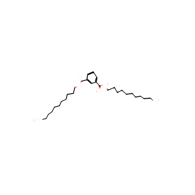 CC(C)CCCCCCCCCCOC(=O)c1cccc(C(=O)OCCCCCCCCCCC(C)C)c1